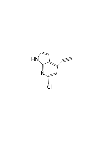 C#Cc1cc(Cl)nc2[nH]ccc12